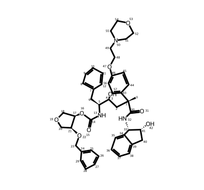 C[C@](C[C@H](O)[C@H](Cc1ccccc1)NC(=O)O[C@@H]1COC[C@@H]1OCc1ccccc1)(C(=O)N[C@H]1c2ccccc2C[C@H]1O)c1ccc(OCCN2CCOCC2)cc1